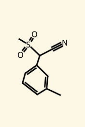 Cc1cccc(C(C#N)S(C)(=O)=O)c1